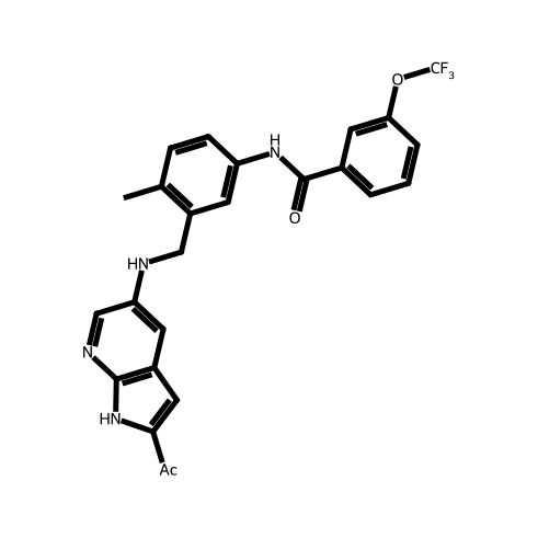 CC(=O)c1cc2cc(NCc3cc(NC(=O)c4cccc(OC(F)(F)F)c4)ccc3C)cnc2[nH]1